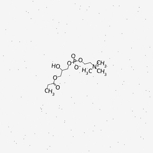 CCC(=O)OCC(O)COP(=O)([O-])OCC[N+](C)(C)C